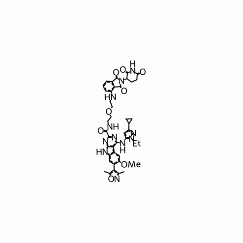 CCn1nc(C2CC2)cc1Nc1nc(C(=O)NCCOCCNc2cccc3c2C(=O)N(C2CCC(=O)NC2=O)C3=O)nc2[nH]c3cc(-c4c(C)noc4C)c(OC)cc3c12